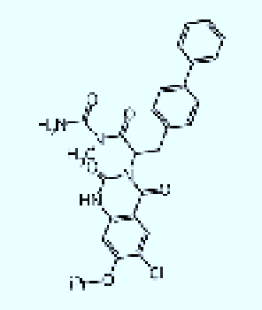 CC(C)Oc1cc2[nH]c(=O)n(C(Cc3ccc(-c4ccccc4)cc3)C(=O)N(C)C(N)=O)c(=O)c2cc1Cl